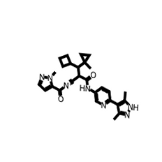 Cc1n[nH]c(C)c1-c1ccc(NC(=O)C(C#[N+]C(=O)c2ccnn2C)C(C2CCC2)C2(C)CC2)cn1